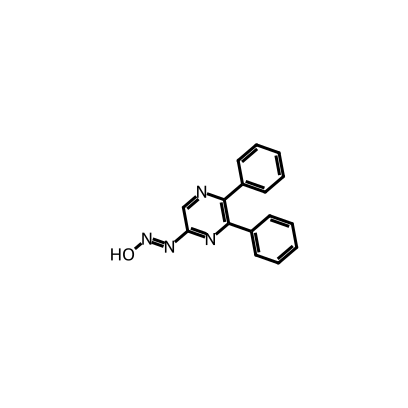 ON=Nc1cnc(-c2ccccc2)c(-c2ccccc2)n1